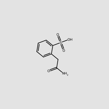 NC(=O)Cc1ccccc1S(=O)(=O)O